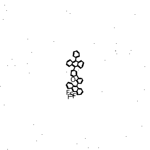 FS(F)(F)c1c2ccccc2c(-c2cccc3c2oc2ccc(-c4c5ccccc5c(-c5ccccc5)c5ccccc45)cc23)c2ccccc12